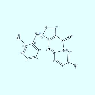 O=c1c2c(nc3ccc(Br)cn13)/C(=C\c1ccccc1Cl)CC2